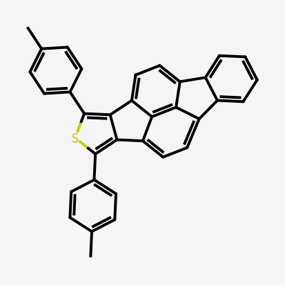 Cc1ccc(-c2sc(-c3ccc(C)cc3)c3c2-c2ccc4c5c(ccc-3c25)-c2ccccc2-4)cc1